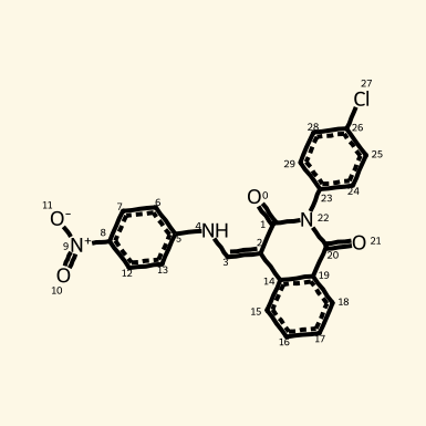 O=C1C(=CNc2ccc([N+](=O)[O-])cc2)c2ccccc2C(=O)N1c1ccc(Cl)cc1